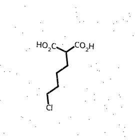 O=C(O)C(CCCCCl)C(=O)O